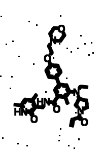 C=CC(=O)N1CCC(N(CC)c2cc(-c3ccc(OCCN4CCOCC4)cc3)cc(C(=O)NCc3c(C)cc(C)[nH]c3=O)c2C)C1